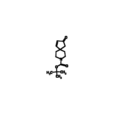 CC(C)(C)OC(=O)N1CCC2(C=CC(=O)C2)CC1